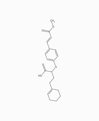 COC(=O)/C=C/c1ccc(OC(CCC2=CCCCC2)C(=O)O)cc1